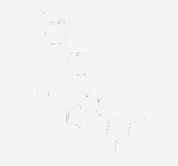 CC1(Cc2ccc(-c3ccc(N)nc3)cc2)C(=O)N(c2cc(Cl)cc(Cl)c2)c2ncc(S(N)(=O)=O)n21